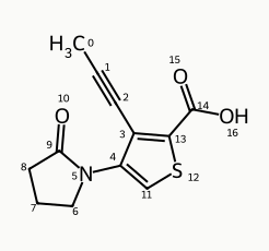 CC#Cc1c(N2CCCC2=O)csc1C(=O)O